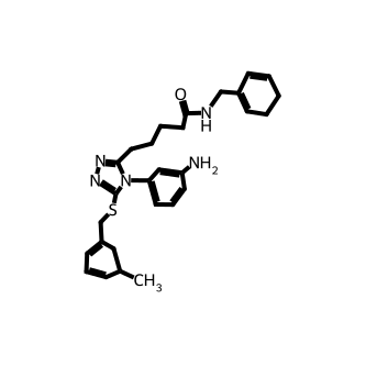 CC1C=CC=C(CSc2nnc(CCCCC(=O)NCC3=CCCC=C3)n2-c2cccc(N)c2)C1